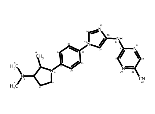 CC1C(N(C)C)CCN1c1ccc(-n2cnc(Nc3cnc(C#N)cn3)c2)cc1